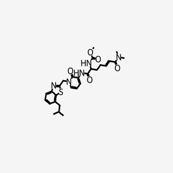 COC(=O)NC(CCC=CC(=O)N(C)C)C(=O)Nc1cccn(Cc2nc3cccc(CC(C)C)c3s2)c1=O